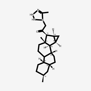 CC1=NNNN1CC(=O)[C@H]1[C@H]2C[C@H]2[C@H]2[C@@H]3CC[C@@H]4C[C@@H](C)CC[C@@H]4C3CC[C@@]21C